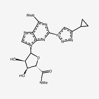 CNC(=O)[C@H]1OC(n2cnc3c(NC)nc(-n4cc(C5CC5)nn4)nc32)[C@H](O)[C@@H]1O